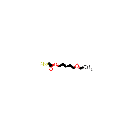 CCOCCCCCOC(=O)CS